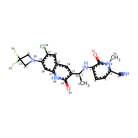 C[C@H](Nc1ccc(C#N)n(C)c1=O)c1cc2cc(Cl)c(N3CC(F)(F)C3)cc2[nH]c1=O